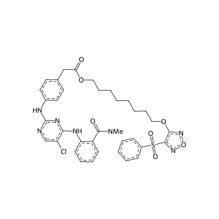 CNC(=O)c1ccccc1Nc1nc(Nc2ccc(CC(=O)OCCCCCCCCOc3nonc3S(=O)(=O)c3ccccc3)cc2)ncc1Cl